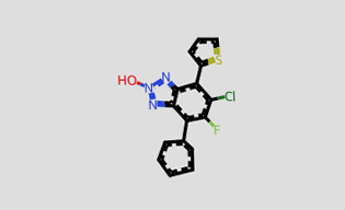 On1nc2c(-c3ccccc3)c(F)c(Cl)c(-c3cccs3)c2n1